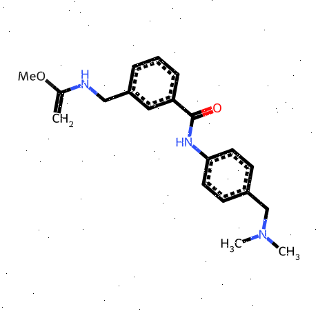 C=C(NCc1cccc(C(=O)Nc2ccc(CN(C)C)cc2)c1)OC